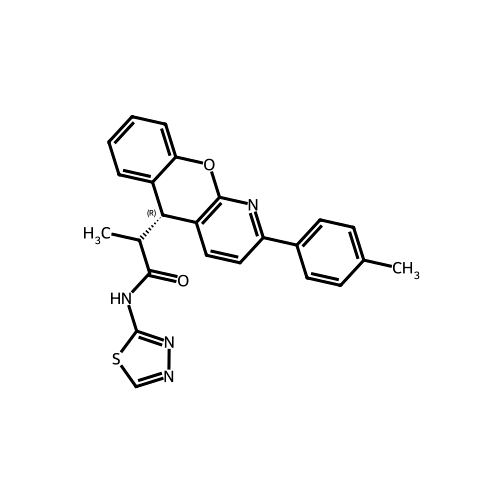 Cc1ccc(-c2ccc3c(n2)Oc2ccccc2[C@H]3C(C)C(=O)Nc2nncs2)cc1